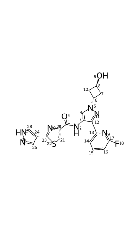 O=C(Nc1cn([C@H]2C[C@H](O)C2)nc1-c1cccc(F)n1)c1csc(-c2cn[nH]c2)n1